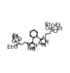 CCO[Si](CCn1nnnc1-c1ccccc1-c1nnnn1CC[Si](OCC)(OCC)OCC)(OCC)OCC